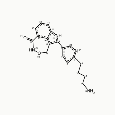 NCCCCc1ccc(-c2[nH]c3cccc4c3c2CONC4=O)cn1